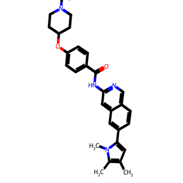 Cc1cc(-c2ccc3cnc(NC(=O)c4ccc(OC5CCN(C)CC5)cc4)cc3c2)n(C)c1C